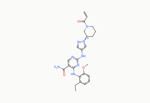 C=CC(=O)N1CCC[C@@H](n2cc(Nc3ncc(C(N)=O)c(Nc4c(CC)cccc4OC)n3)cn2)C1